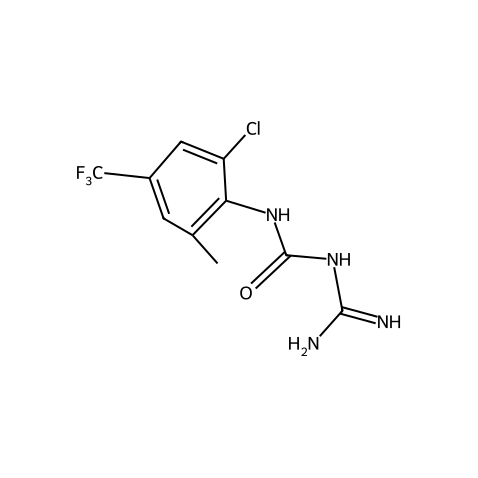 Cc1cc(C(F)(F)F)cc(Cl)c1NC(=O)NC(=N)N